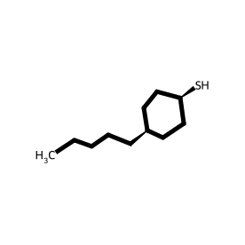 CCCCC[C@H]1CC[C@@H](S)CC1